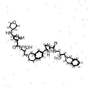 O=C(NCC(O)CN1CCc2ccc(-c3cnc(C(=O)NCC(O)CN4CCc5ccccc5C4)[nH]3)cc2C1)c1cc(NC2CCOCC2)n[nH]1